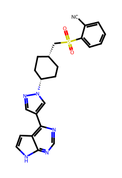 N#Cc1ccccc1S(=O)(=O)C[C@H]1CC[C@@H](n2cc(-c3ncnc4[nH]ccc34)cn2)CC1